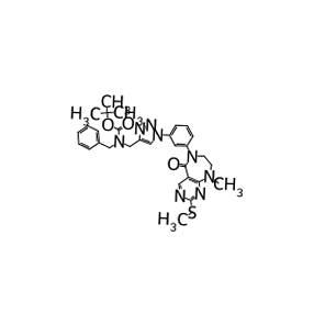 CSc1ncc2c(n1)N(C)CCN(c1cccc(-n3cc(CN(Cc4ccccc4)C(=O)OC(C)(C)C)nn3)c1)C2=O